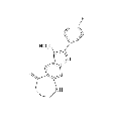 C=C1CCCNc2cc3oc(-c4ccc(F)cc4)c(C(=O)O)c3cc21